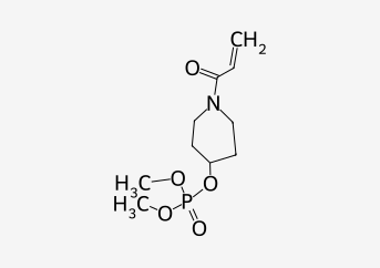 C=CC(=O)N1CCC(OP(=O)(OC)OC)CC1